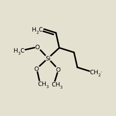 [CH2]CCC(C=C)[Si](OC)(OC)OC